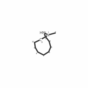 CN1NC12CCCCCCCC2